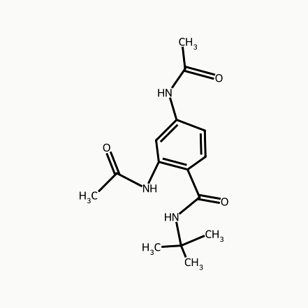 CC(=O)Nc1ccc(C(=O)NC(C)(C)C)c(NC(C)=O)c1